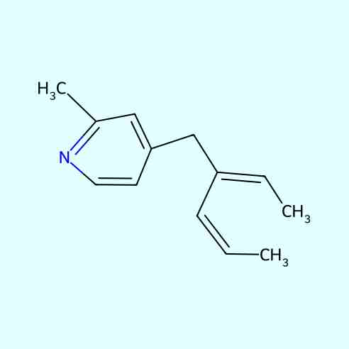 C/C=C\C(=C/C)Cc1ccnc(C)c1